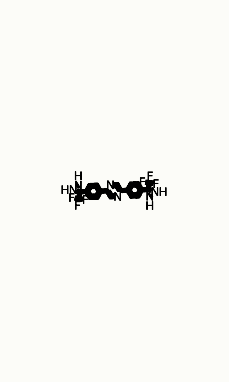 FC(F)(F)C1(c2ccc(-c3cnc(-c4ccc(C5(C(F)(F)F)NN5)cc4)cn3)cc2)NN1